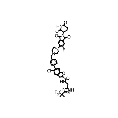 CC(C)(c1n[nH]c(CNC(=O)[C@H]2Cc3cc(Cl)c(-c4ccc(CN5CCN(c6cc7c(cc6F)C(=O)N(C6CCC(=O)NC6=O)C7=O)CC5)cc4)cc3O2)n1)C(F)(F)F